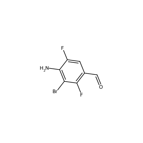 Nc1c(F)cc(C=O)c(F)c1Br